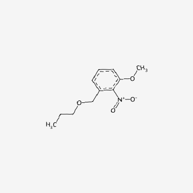 CCCOCc1cccc(OC)c1[N+](=O)[O-]